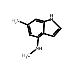 CNc1cc(N)cc2[nH]ccc12